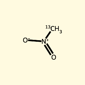 [13CH3][N+](=O)[O-]